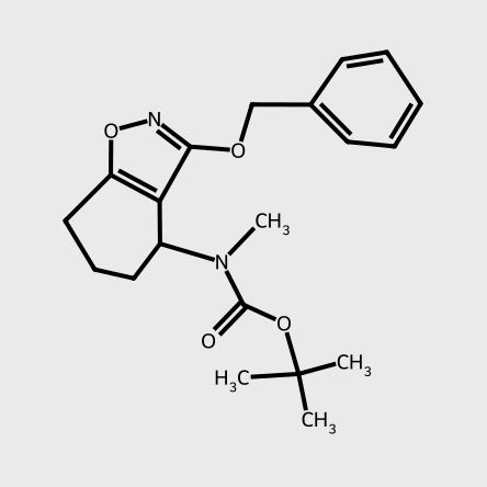 CN(C(=O)OC(C)(C)C)C1CCCc2onc(OCc3ccccc3)c21